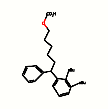 CCCCc1cccc(C(CCCCCOC(=O)O)c2ccccc2)c1CCCC